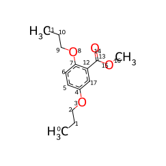 CCCOc1ccc(OCCC)c(C(=O)OC)c1